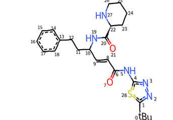 CC(C)(C)c1nnc(NC(=O)C=CC(CCc2ccccc2)NC(=O)[C@@H]2CCCCN2)s1